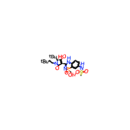 CC(C)(C)CCN1C(=O)C(C2=NP(=O)(CO)c3cc(NS(C)(=O)=O)ccc3N2)=C(O)C1C(C)(C)C